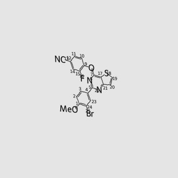 COc1ccc(-c2nc(Oc3ccc(C#N)cc3F)c3sccc3n2)cc1Br